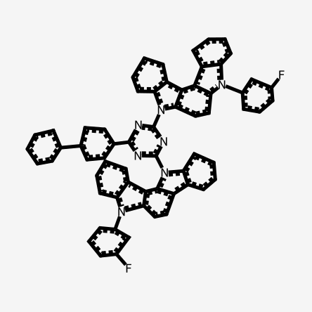 Fc1cccc(-n2c3ccccc3c3c4c5ccccc5n(-c5nc(-c6ccc(-c7ccccc7)cc6)nc(-n6c7ccccc7c7ccc8c(c9ccccc9n8-c8cccc(F)c8)c76)n5)c4ccc32)c1